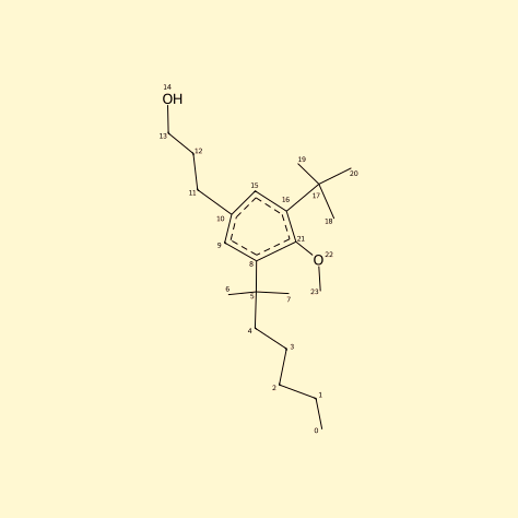 CCCCCC(C)(C)c1cc(CCCO)cc(C(C)(C)C)c1OC